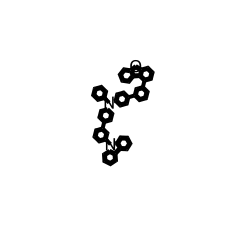 c1ccc(N(c2ccc(-c3cccc(-c4cccc5oc6ccccc6c45)c3)cc2)c2ccc(-c3cccc(-n4c5ccccc5c5ccccc54)c3)cc2)cc1